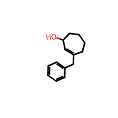 OC1C=C(Cc2ccccc2)CCCC1